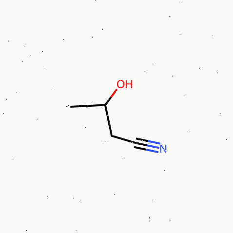 [CH2]C(O)CC#N